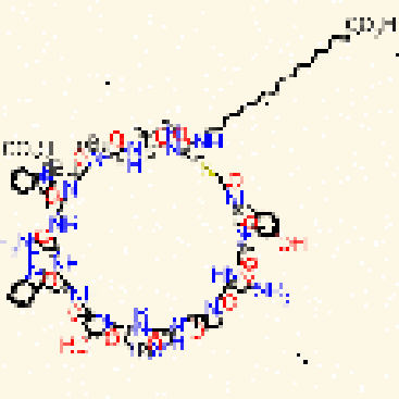 CCCC[C@H]1C(=O)N(C)[C@@H](CCCC)C(=O)N[C@@H]([C@H](C)C(C)C)C(=O)N[C@H](C(=O)NCCCCCCCCCCCCCCCCC(=O)O)CSCC(=O)N[C@@H](Cc2ccc(O)cc2)C(=O)N(C)[C@@H](C)C(=O)N[C@@H](CC(N)=O)C(=O)N2CCC[C@H]2C(=O)N[C@@H](CN)C(=O)N[C@@H](CC(C)C)C(=O)N2C[C@H](O)C[C@H]2C(=O)N[C@@H](Cc2c[nH]c3ccccc23)C(=O)N[C@@H](CCN)C(=O)N[C@@H](Cc2cn(CC(=O)O)c3ccccc23)C(=O)N1C